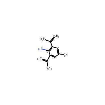 C=C(C)c1cc(C#N)cc(C(=C)C)c1N